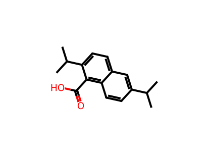 CC(C)c1ccc2c(C(=O)O)c(C(C)C)ccc2c1